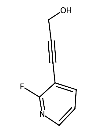 OCC#Cc1cccnc1F